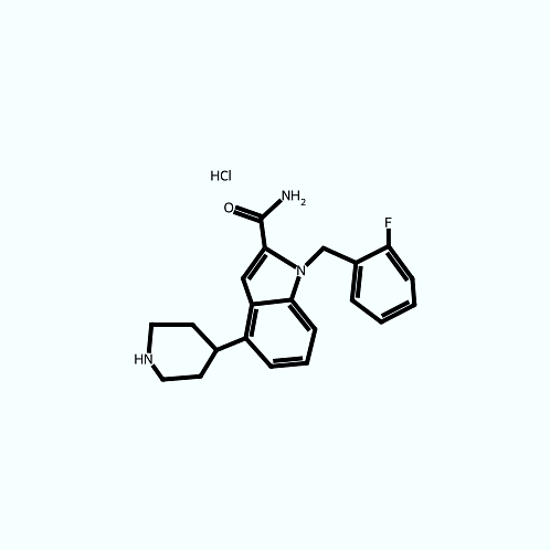 Cl.NC(=O)c1cc2c(C3CCNCC3)cccc2n1Cc1ccccc1F